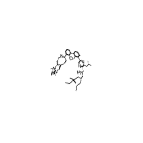 CCCC(CNCc1ncc(-c2cccc(-c3cccc(C4=N/CCC(NC)C(=C\NC)/C=C\4)c3Cl)c2C)nc1CC(C)C)CC(C)(C)CC